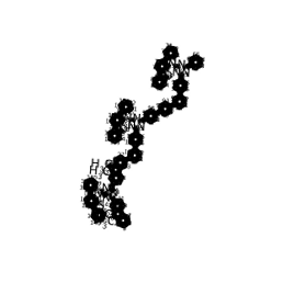 CC1(C)c2ccccc2-c2ccc(-c3nc(-c4ccc5c(c4)C(C)(C)c4ccc(-c6cccc(-c7ccc(-c8nc(-c9ccc(-c%10ccc(-c%11cccc(-c%12ccc(-c%13nc(-c%14ccccc%14)nc(-n%14c%15ccccc%15c%15ccc%16c%17ccccc%17oc%16c%15%14)n%13)cc%12)c%11)cc%10)cc9)nc(-n9c%10ccccc%10c%10ccc%11c%12ccccc%12oc%11c%109)n8)cc7)c6)cc4-5)nc(-n4c5ccccc5c5ccc6c7ccccc7sc6c54)n3)cc21